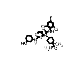 C[C@]1(C(N)=O)CC[C@@H](n2c(Nc3c(Cl)cc(F)cc3Cl)nc3cnc(N[C@H]4CCC[C@@H](O)C4)nc32)CC1